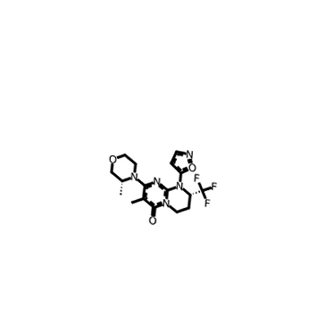 Cc1c(N2CCOC[C@H]2C)nc2n(c1=O)CC[C@@H](C(F)(F)F)N2c1ccno1